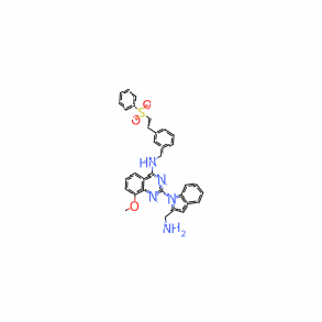 COc1cccc2c(NCc3cccc(C=CS(=O)(=O)c4ccccc4)c3)nc(-n3c(CN)cc4ccccc43)nc12